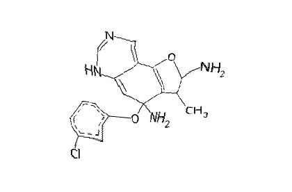 CC1C2=C(OC1N)C1=CN=CNC1=CC2(N)Oc1cccc(Cl)c1